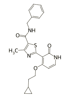 Cc1nc(-c2c(OCCC3CC3)cc[nH]c2=O)sc1C(=O)NCc1ccccc1